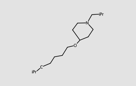 CC(C)CCCCCOC1CCN(CC(C)C)CC1